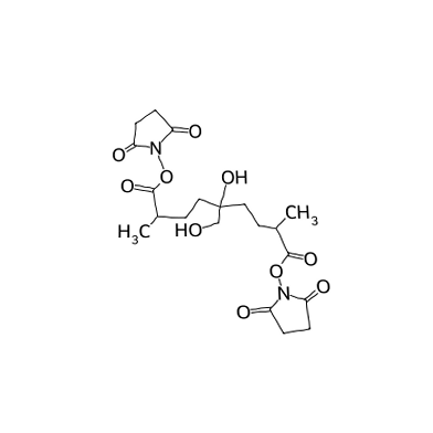 CC(CCC(O)(CO)CCC(C)C(=O)ON1C(=O)CCC1=O)C(=O)ON1C(=O)CCC1=O